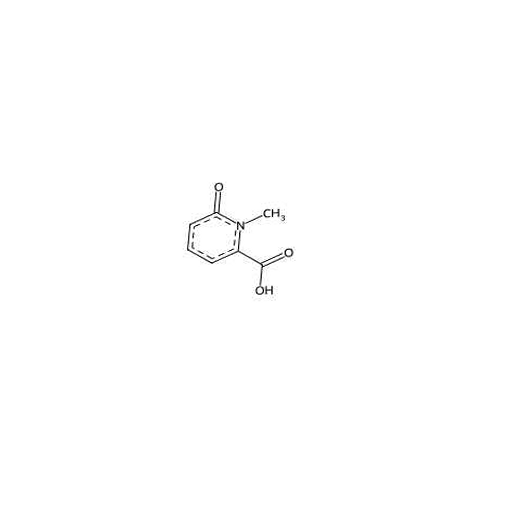 Cn1c(C(=O)O)cccc1=O